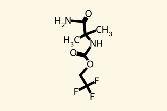 CC(C)(NC(=O)OCC(F)(F)F)C(N)=O